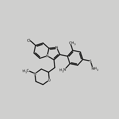 Cc1cc(SN)cc(N)c1-c1nc2cc(Cl)ccn2c1CC1CN(C)CCO1